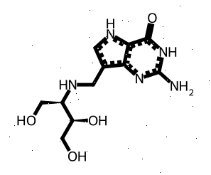 Nc1nc2c(CN[C@H](CO)[C@@H](O)CO)c[nH]c2c(=O)[nH]1